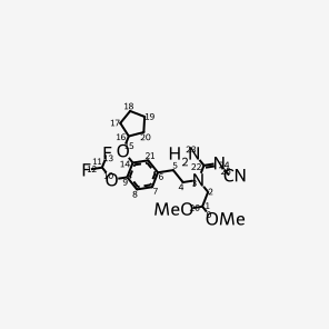 COC(CN(CCc1ccc(OC(F)F)c(OC2CCCC2)c1)/C(N)=N\C#N)OC